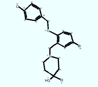 CCC1(O)CCN(Cc2cc(Br)ccc2OCc2ccc(Cl)cc2)CC1